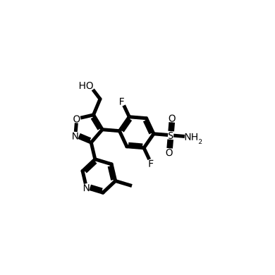 Cc1cncc(-c2noc(CO)c2-c2cc(F)c(S(N)(=O)=O)cc2F)c1